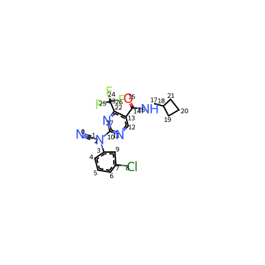 N#CN(c1cccc(Cl)c1)c1ncc(C(=O)NCC2CCC2)c(C(F)(F)F)n1